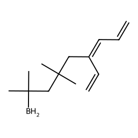 BC(C)(C)CC(C)(C)C/C(C=C)=C/C=C